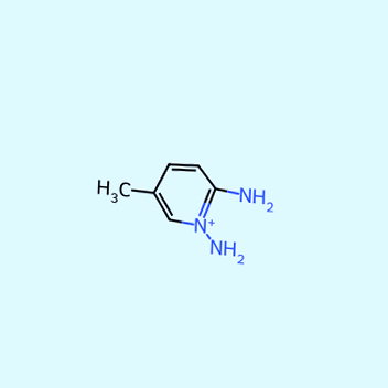 Cc1ccc(N)[n+](N)c1